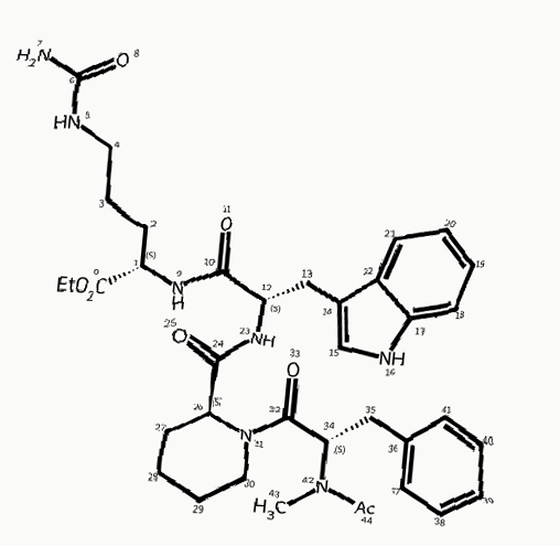 CCOC(=O)[C@H](CCCNC(N)=O)NC(=O)[C@H](Cc1c[nH]c2ccccc12)NC(=O)[C@@H]1CCCCN1C(=O)[C@H](Cc1ccccc1)N(C)C(C)=O